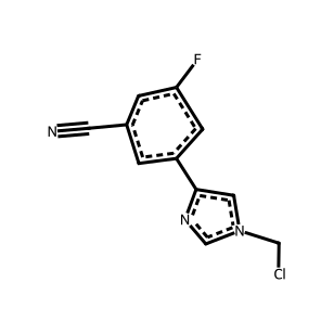 N#Cc1cc(F)cc(-c2cn(CCl)cn2)c1